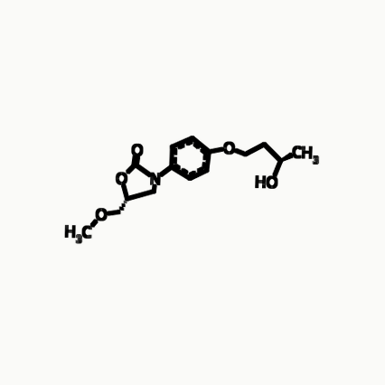 COC[C@H]1CN(c2ccc(OCC[C@@H](C)O)cc2)C(=O)O1